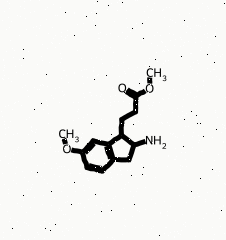 COC(=O)CCC1c2cc(OC)ccc2CC1N